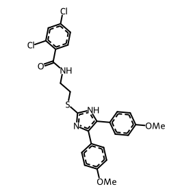 COc1ccc(-c2nc(SCCNC(=O)c3ccc(Cl)cc3Cl)[nH]c2-c2ccc(OC)cc2)cc1